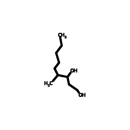 CCCCCC(C)C(O)CCO